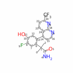 CC(C)(C(N)=O)c1cc(F)c(O)cc1-c1ccnc2nc(C(F)(F)F)ccc12